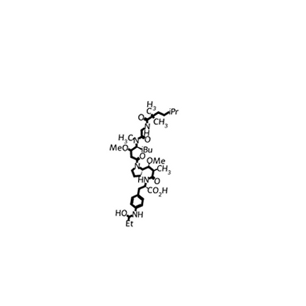 CCC(O)Nc1ccc(C[C@H](NC(=O)[C@H](C)[C@@H](OC)[C@@H]2CCCN2C(=O)CC(OC)[C@H](C(C)CC)N(C)C(=O)CNC(=O)C(C)(C)CCC(C)C)C(=O)O)cc1